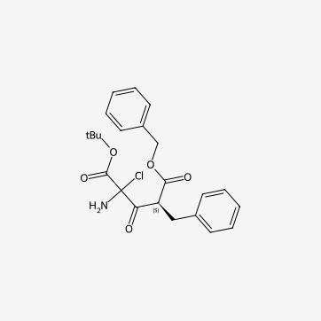 CC(C)(C)OC(=O)C(N)(Cl)C(=O)[C@H](Cc1ccccc1)C(=O)OCc1ccccc1